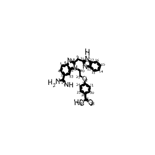 N=C(N)c1ccc2nc(Cc3nc4ccccc4[nH]3)n(CCOc3ccc(C(=O)O)cc3)c2c1